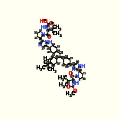 COC(=O)N[C@H](C(=O)N1CCC[C@H]1c1nc(-c2ccc(C(Cc3ccc(-c4cnc([C@@H]5CCCN5C(=O)[C@@H](NC(=O)O)C(C)C)[nH]4)cc3)c3ccc(C(C)(C)C)cc3)cc2)c[nH]1)C(C)C